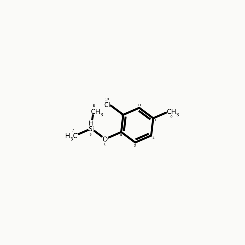 Cc1ccc(O[SiH](C)C)c(Cl)c1